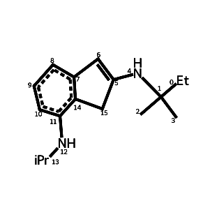 CCC(C)(C)NC1=Cc2cccc(NC(C)C)c2C1